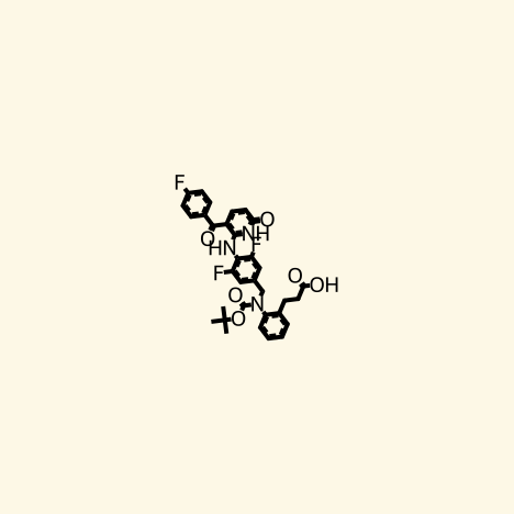 CC(C)(C)OC(=O)N(Cc1cc(F)c(Nc2[nH]c(=O)ccc2C(=O)c2ccc(F)cc2)c(F)c1)c1ccccc1CCC(=O)O